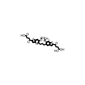 COc1cc2sc(C(=O)CCC(O)O)cc2cc1CCCc1nc2cc(C(=O)CCC(=O)O)sc2cc1OC